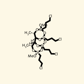 CO[Si]1(CCCCl)O[C@@H](C)[C@H]2O[Si](CCCCl)(O1)O[Si]1(CCCCl)O[C@@H]2[C@@H](C)O[Si](CCCCl)(OC)O1